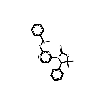 C[C@@H](Nc1nccc(N2C(=O)OC(C)(C)C2c2ccccc2)n1)c1ccccc1